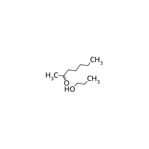 CCCCCC(C)=O.CCCO